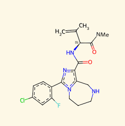 C=C(C)[C@H](NC(=O)c1nc(-c2ccc(Cl)cc2F)n2c1CNCCC2)C(=O)NC